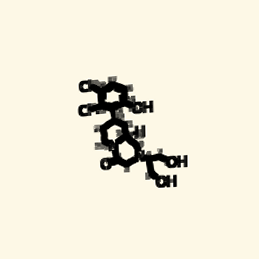 O=C1CN(C(CO)CO)C[C@@H]2C[C@H](c3c(O)ccc(Cl)c3Cl)CCN12